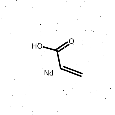 C=CC(=O)O.[Nd]